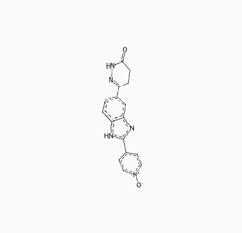 O=C1CCC(c2ccc3[nH]c(-c4cc[n+]([O-])cc4)nc3c2)=NN1